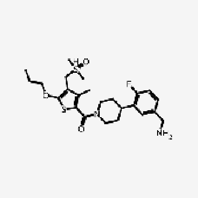 CCCOc1sc(C(=O)N2CCC(c3cc(CN)ccc3F)CC2)c(C)c1C[SH](C)(C)=O